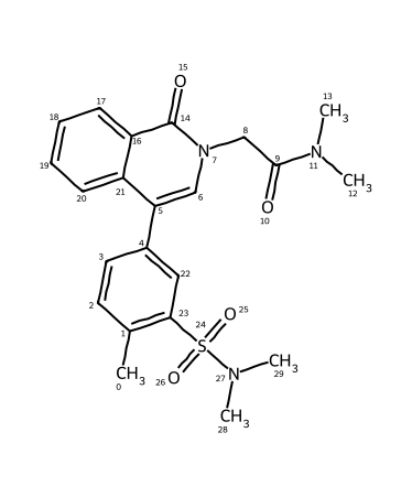 Cc1ccc(-c2cn(CC(=O)N(C)C)c(=O)c3ccccc23)cc1S(=O)(=O)N(C)C